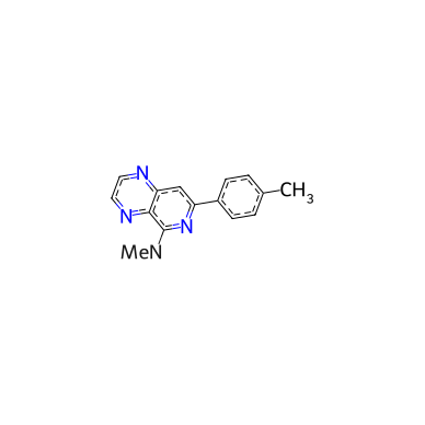 CNc1nc(-c2ccc(C)cc2)cc2nccnc12